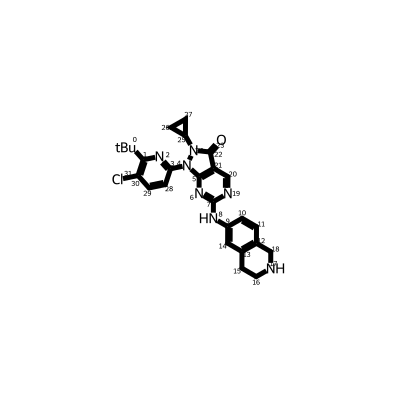 CC(C)(C)c1nc(-n2c3nc(Nc4ccc5c(c4)CCNC5)ncc3c(=O)n2C2CC2)ccc1Cl